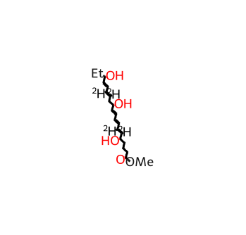 [2H]C(C=CC(O)CC)=C([2H])CC(O)C=CC=CC([2H])=C([2H])C(O)CCCC(=O)OC